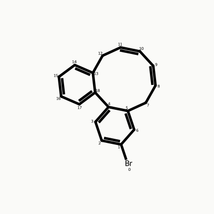 Brc1ccc2c(c1)C/C=C\C=C/Cc1ccccc1-2